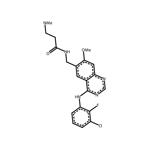 CNCCC(=O)NCc1cc2c(Nc3cccc(Cl)c3F)ncnc2cc1OC